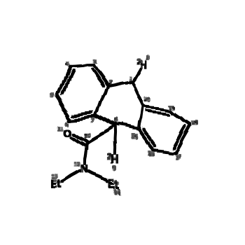 [2H]C1c2ccccc2C([2H])(C(=O)N(CC)CC)c2ccccc21